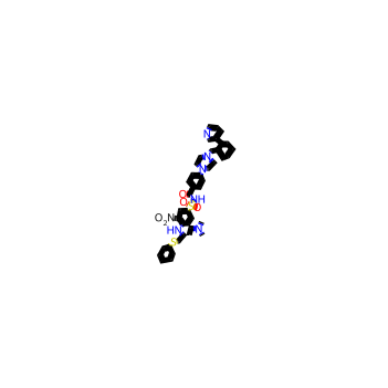 CN(C)CC[C@H](CSc1ccccc1)Nc1ccc(S(=O)(=O)NC(=O)c2ccc(N3CCN(Cc4ccccc4-c4cccnc4)CC3)cc2)cc1[N+](=O)[O-]